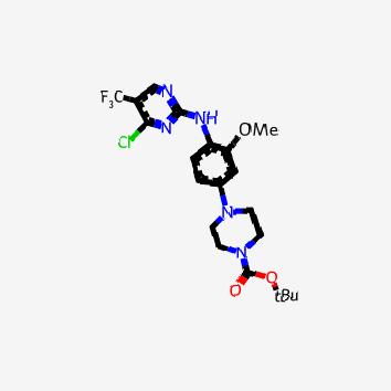 COc1cc(N2CCN(C(=O)OC(C)(C)C)CC2)ccc1Nc1ncc(C(F)(F)F)c(Cl)n1